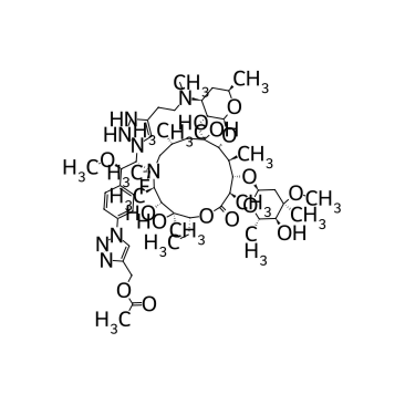 CC[C@H]1OC(=O)[C@H](C)[C@@H](O[C@H]2C[C@@](C)(OC)[C@@H](O)[C@H](C)O2)[C@H](C)[C@@H](O[C@@H]2O[C@H](C)C[C@H](N(C)CCC3=CN([C@H](CF)[C@H](OC)c4ccc(-n5cc(COC(C)=O)nn5)cc4)NN3)[C@H]2O)[C@](C)(O)C[C@@H](C)CN(C)[C@H](C)[C@@H](O)[C@]1(C)O